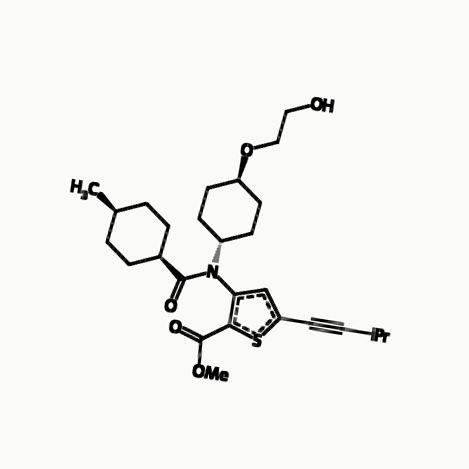 COC(=O)c1sc(C#CC(C)C)cc1N(C(=O)[C@H]1CC[C@@H](C)CC1)[C@H]1CC[C@H](OCCO)CC1